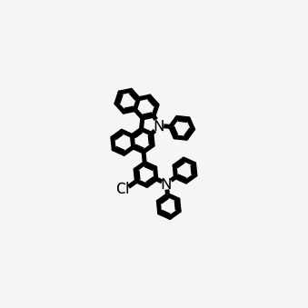 Clc1cc(-c2cc3c(c4ccccc24)c2c4ccccc4ccc2n3-c2ccccc2)cc(N(c2ccccc2)c2ccccc2)c1